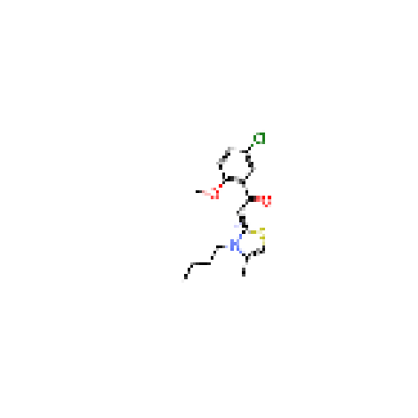 CCCCN1C(C)=CS/C1=C\C(=O)c1cc(Cl)ccc1OC